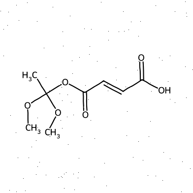 COC(C)(OC)OC(=O)/C=C/C(=O)O